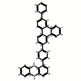 c1ccc(-c2ccc3c4ccc(-c5ccc(-c6cccc7c6Oc6ccccc6S7)cn5)cc4c4ccccc4c3c2)cc1